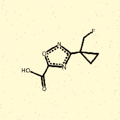 O=C(O)c1nc(C2(CF)CC2)no1